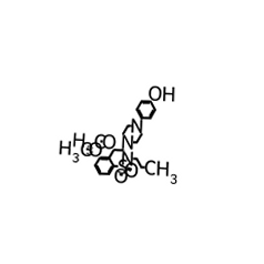 CCCN1C(N2CCN(c3ccc(O)cc3)CC2)C(OC)c2c(OC)cccc2S1(=O)=O